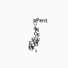 CCCCCC1CCC(c2ccc(-c3ccc(-c4cc(F)c(C(F)(F)Oc5cc(F)c(OC(F)(F)F)c(F)c5)c(F)c4)c(F)c3)nc2)CC1